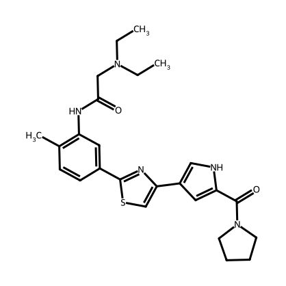 CCN(CC)CC(=O)Nc1cc(-c2nc(-c3c[nH]c(C(=O)N4CCCC4)c3)cs2)ccc1C